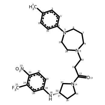 Cc1ccc(N2CCCN(CCC(=O)N3CC[C@H](Nc4ccc([N+](=O)[O-])c(C(F)(F)F)c4)C3)CC2)cc1